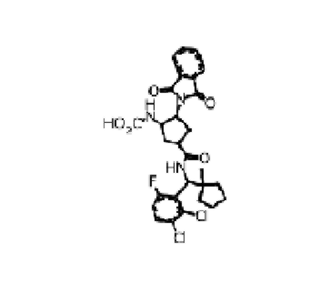 CC1(C(NC(=O)C2C[C@@H](NC(=O)O)[C@@H](N3C(=O)c4ccccc4C3=O)C2)c2c(F)ccc(Cl)c2Cl)CCCC1